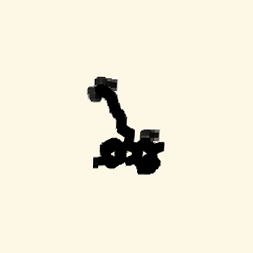 Cc1c(O)c(C(CCCCCC(=O)O)c2ccc(F)cc2)c(C)c2c1CCC2